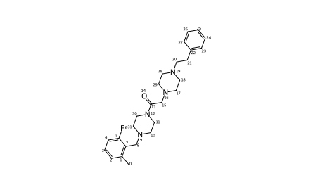 Cc1cccc(F)c1CN1CCN(C(=O)CN2CCN(CCc3ccccc3)CC2)CC1